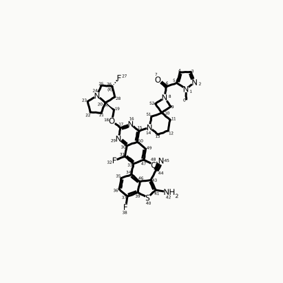 Cn1nccc1C(=O)N1CC2(CCCN(c3nc(OC[C@@]45CCCN4C[C@H](F)C5)nc4c(F)c(-c5ccc(F)c6sc(N)c(C#N)c56)c(Cl)cc34)C2)C1